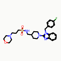 O=S(=O)(CCCN1CCOCC1)NCC1CCN(c2nc3ccccc3n2Cc2ccc(F)cc2)CC1